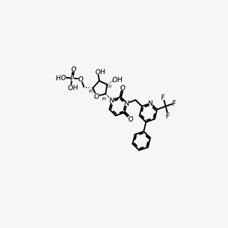 O=c1ccn([C@@H]2O[C@H](COP(=O)(O)O)C(O)[C@@H]2O)c(=O)n1Cc1cc(-c2ccccc2)cc(C(F)(F)F)n1